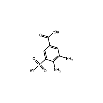 CC(C)S(=O)(=O)c1cc(C(=O)C(C)(C)C)cc(N)c1N